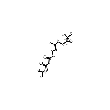 CC(=CCCC(=O)CC(=O)OC(C)C)CCC1OC1(C)C